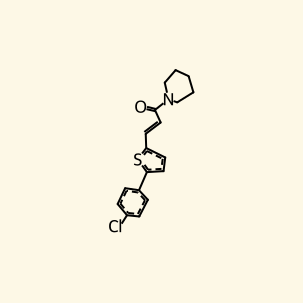 O=C(C=Cc1ccc(-c2ccc(Cl)cc2)s1)N1CCCCC1